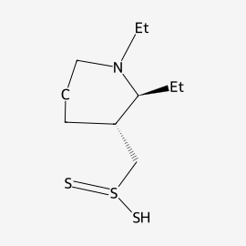 CC[C@H]1[C@H](CS(=S)S)CCCN1CC